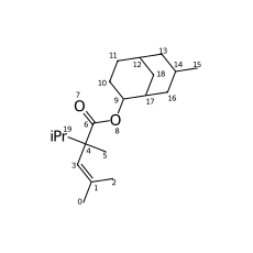 CC(C)=CC(C)(C(=O)OC1CCC2CC(C)CC1C2)C(C)C